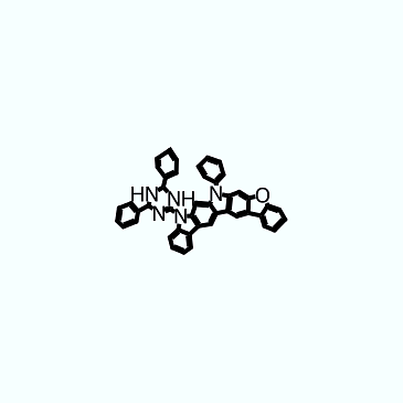 c1ccc(C2N=C(n3c4ccccc4c4cc5c6cc7c(cc6n(-c6ccccc6)c5cc43)oc3ccccc37)NC(c3ccccc3)N2)cc1